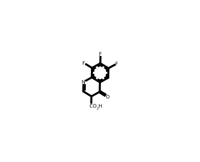 O=C(O)C1C=Nc2c(cc(F)c(F)c2F)C1=O